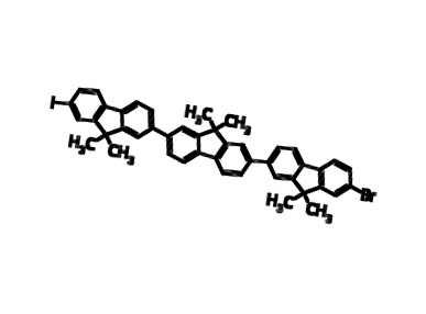 CC1(C)c2cc(Br)ccc2-c2ccc(-c3ccc4c(c3)C(C)(C)c3cc(-c5ccc6c(c5)C(C)(C)c5cc(I)ccc5-6)ccc3-4)cc21